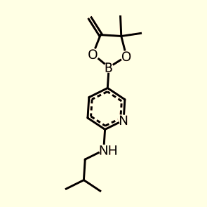 C=C1OB(c2ccc(NCC(C)C)nc2)OC1(C)C